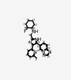 Cc1cccc(-c2nc(CN[C@H]3CCCC[C@@H]3F)[nH]c2-c2ccc3ncnn3c2)n1